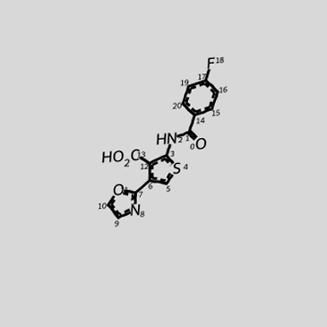 O=C(Nc1scc(-c2ncco2)c1C(=O)O)c1ccc(F)cc1